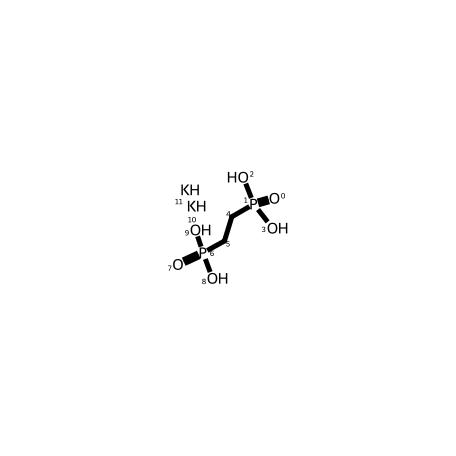 O=P(O)(O)CCP(=O)(O)O.[KH].[KH]